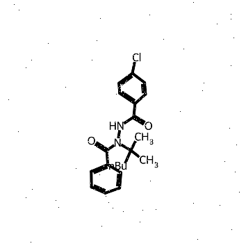 CCCCC(C)(C)N(NC(=O)c1ccc(Cl)cc1)C(=O)c1ccccc1